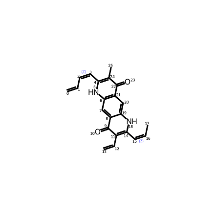 C=C/C=C\c1[nH]c2cc3c(=O)c(C=C)c(/C=C\C)[nH]c3cc2c(=O)c1C